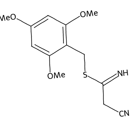 COc1cc(OC)c(CSC(=N)CC#N)c(OC)c1